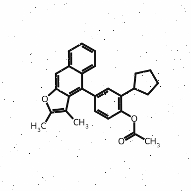 CC(=O)Oc1ccc(-c2c3ccccc3cc3oc(C)c(C)c23)cc1C1CCCC1